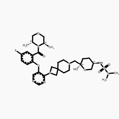 C[C@@H]1COC[C@@H](C)N1C(=O)c1cc(F)ccc1Oc1cncnc1N1CC2(CCN(C[C@@]3(O)CC[C@@H](NS(=O)(=O)N(C)C)CO3)CC2)C1